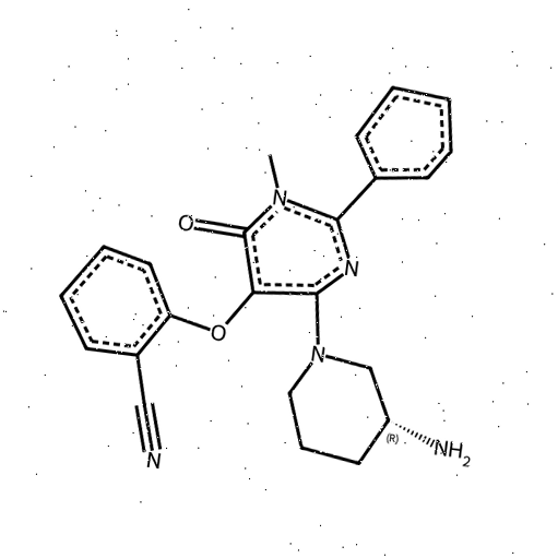 Cn1c(-c2ccccc2)nc(N2CCC[C@@H](N)C2)c(Oc2ccccc2C#N)c1=O